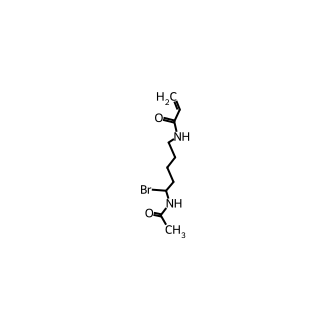 C=CC(=O)NCCCCC(Br)NC(C)=O